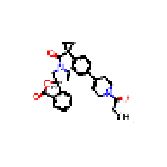 CCC(=O)N1CC=C(c2ccc(C3(C(=O)N4CC[C@@]5(C4)OC(=O)c4ccccc45)CC3)cc2)CC1